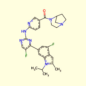 Cc1cc2c(F)cc(-c3nc(Nc4ccc(C(=O)N5CCN6CCC5C6)cn4)ncc3F)cc2n1C(C)C